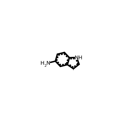 Nc1ccc2[nH]c[c]c2c1